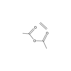 C=C.CC(=O)OC(C)=O